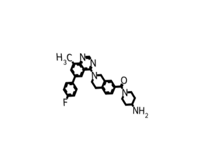 Cc1cc(-c2ccc(F)cc2)cc2c(N3CCc4ccc(C(=O)N5CCC(N)CC5)cc4C3)ncnc12